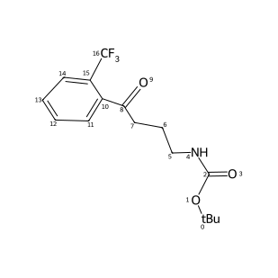 CC(C)(C)OC(=O)NCCCC(=O)c1ccccc1C(F)(F)F